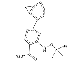 COC(=O)c1ccc(-c2cccc3c2C3)cc1BOC(C)(C)C(C)C